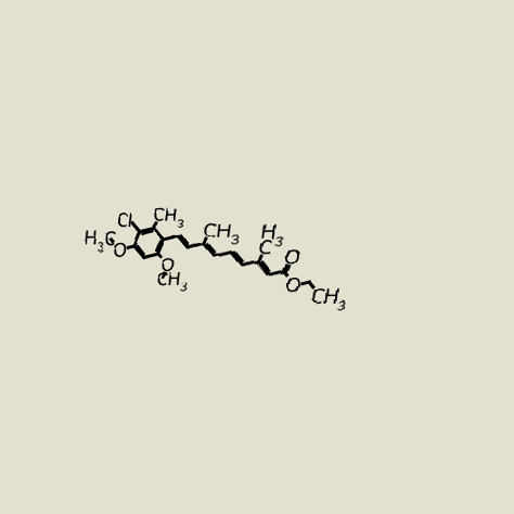 CCOC(=O)/C=C(C)/C=C/C=C(C)/C=C/c1c(OC)cc(OC)c(Cl)c1C